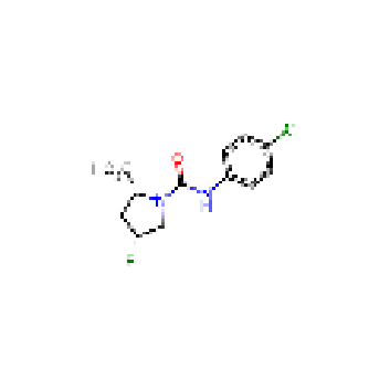 O=C(O)[C@H]1C[C@@H](F)CN1C(=O)Nc1ccc(Cl)cc1